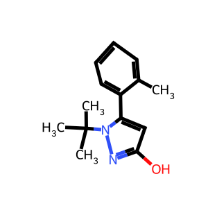 Cc1ccccc1-c1cc(O)nn1C(C)(C)C